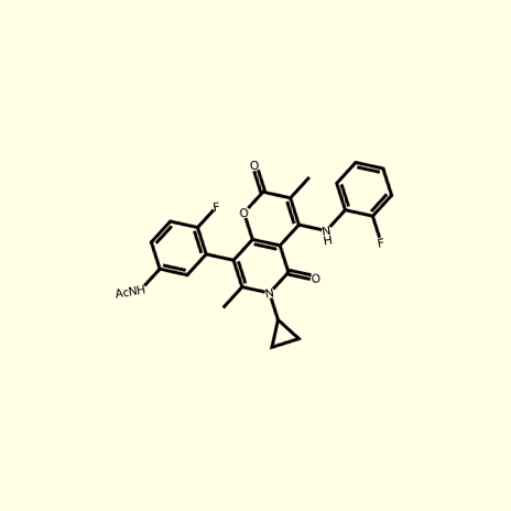 CC(=O)Nc1ccc(F)c(-c2c(C)n(C3CC3)c(=O)c3c(Nc4ccccc4F)c(C)c(=O)oc23)c1